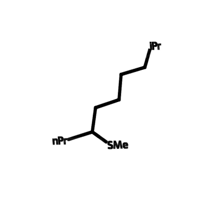 CCCC(CCCCC(C)C)SC